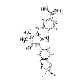 CC1(C)C(=O)N(c2ccc(OC(F)(F)F)cc2)C(=O)N1Cc1ccnc(C(=N)N)c1